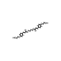 O=C(C=Cc1ccc(OCCO)cc1)OCCCCOC(=O)C=Cc1ccc(OCCO)cc1